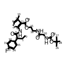 CCC(C(=O)Nc1scc(C)c1C(=O)OCCNC(=O)CNC(=O)OC(C)(C)C)c1ccc(F)cc1